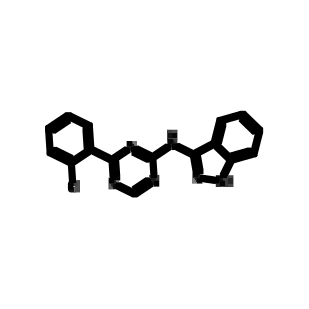 Clc1ccccc1-c1ncnc(Nc2n[nH]c3ccccc23)n1